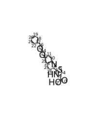 O=C(O)C1CSC(C2=Nc3ccc(OCOCc4ccccc4)cc3CC2)N1